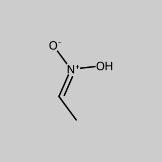 CC=[N+]([O-])O